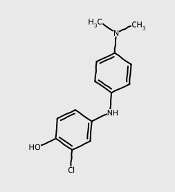 CN(C)c1ccc(Nc2ccc(O)c(Cl)c2)cc1